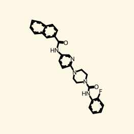 O=C(Nc1ccc(N2CCN(C(=O)Nc3ccccc3F)CC2)nc1)c1ccc2ccccc2c1